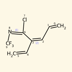 C=C/C=C(C=C)\C(Cl)=N/C(F)(F)F